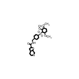 COc1ccc(OC)c(S(=O)(=O)c2ccc(CNC(=O)c3cc4ccncc4s3)cc2)c1OC